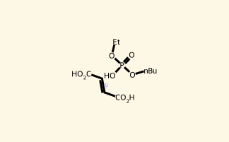 CCCCOP(=O)(O)OCC.O=C(O)/C=C/C(=O)O